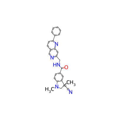 CN1C[C@@](C)(C#N)c2cc(C(=O)NCc3cc4nc(-c5ccccc5)ccc4cn3)ccc21